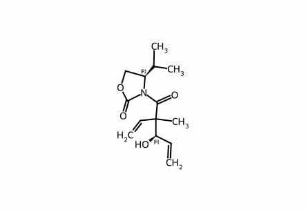 C=C[C@@H](O)C(C)(C=C)C(=O)N1C(=O)OC[C@H]1C(C)C